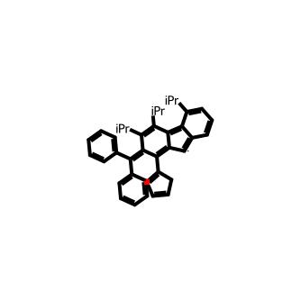 CC(C)c1c(C(C)C)c2c(c(C3=CC=CC3)c1=C(c1ccccc1)c1ccccc1)[C]=c1cccc(C(C)C)c1=2